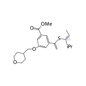 C=C(S/C(=C\C)C(C)C)c1cc(OCC2CCOCC2)cc(C(=O)OC)c1